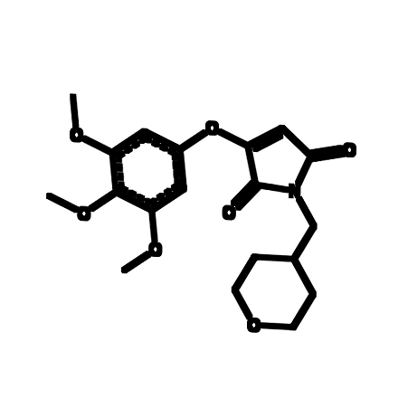 COc1cc(OC2=CC(=O)N(CC3CCOCC3)C2=O)cc(OC)c1OC